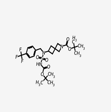 CC(C)(C)OC(=O)NS(=O)(=O)N(Cc1ccc(C(F)(F)F)cc1)C1CC2(C1)CN(C(=O)OC(C)(C)C)C2